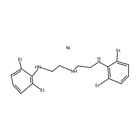 CCc1cccc(CC)c1NCCNCCNc1c(CC)cccc1CC.[Ni]